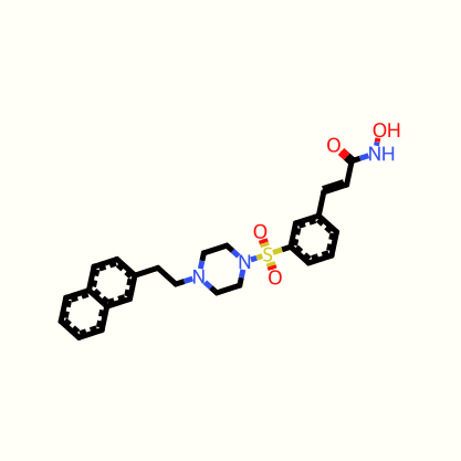 O=C(C=Cc1cccc(S(=O)(=O)N2CCN(CCc3ccc4ccccc4c3)CC2)c1)NO